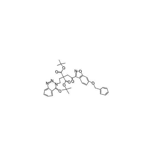 CC(C)(C)OC(=O)C(CCn1nnc2ccccc2c1=O)(CC(=O)c1noc2cc(OCc3ccccc3)ccc12)C(=O)OC(C)(C)C